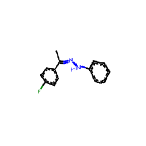 CC(=NNc1ccccc1)c1ccc(F)cc1